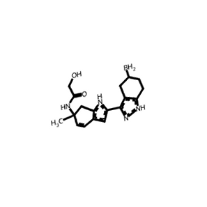 BC1CCc2[nH]nc(-c3cc4c([nH]3)CC(C)(NC(=O)CO)C=C4)c2C1